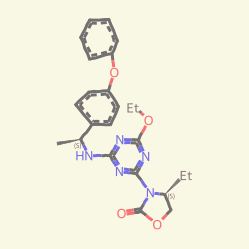 CCOc1nc(N[C@@H](C)c2ccc(Oc3ccccc3)cc2)nc(N2C(=O)OC[C@@H]2CC)n1